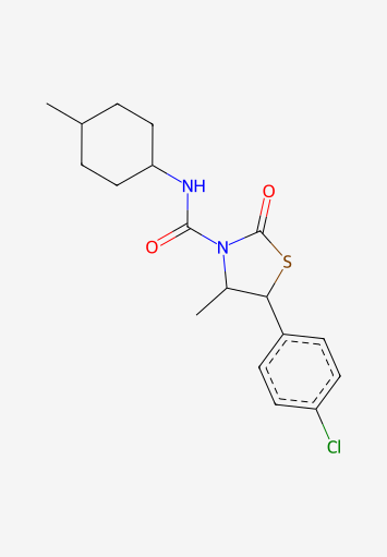 CC1CCC(NC(=O)N2C(=O)SC(c3ccc(Cl)cc3)C2C)CC1